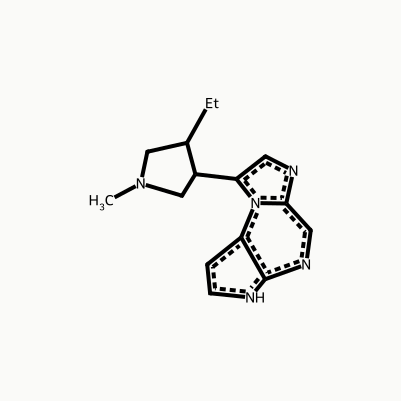 CCC1CN(C)CC1c1cnc2cnc3[nH]ccc3n12